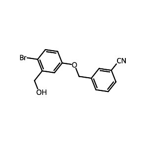 N#Cc1cccc(COc2ccc(Br)c(CO)c2)c1